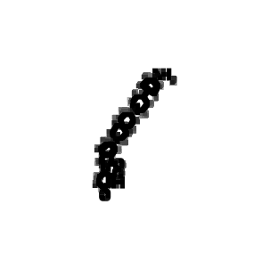 Nc1ccc(C2CCN(C3CCC4(CC3)CCN(c3ccc5c(c3)C(=O)N(C3CCC(=O)NC3=O)C5)CC4)CC2)cc1